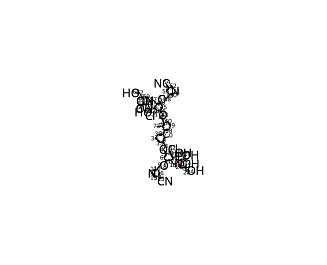 Cc1c(COc2cc(OCc3cncc(C#N)c3)c(CN(CC(O)CO)C(CO)CO)cc2Cl)cccc1-c1cccc(COc2cc(OCc3cncc(C#N)c3)c(CN(C[C@H](O)CO)C(CO)CO)cc2Cl)c1C